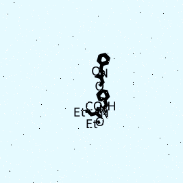 CCOc1nn(Cc2ccc(OCc3coc(-c4ccccc4)n3)cc2)cc1CC(CC)C(=O)O